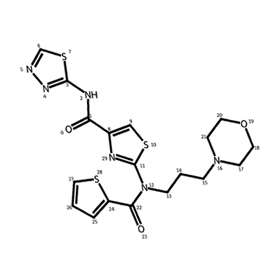 O=C(Nc1nncs1)c1csc(N(CCCN2CCOCC2)C(=O)c2cccs2)n1